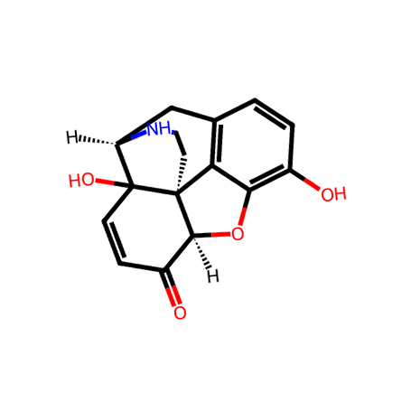 O=C1C=CC2(O)[C@H]3Cc4ccc(O)c5c4[C@@]2(CCN3)[C@H]1O5